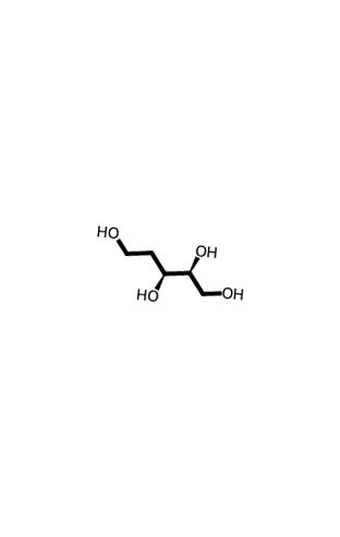 OCC[C@H](O)[C@@H](O)CO